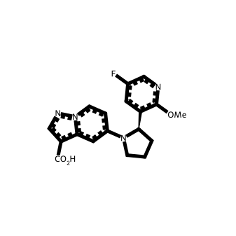 COc1ncc(F)cc1[C@H]1CCCN1c1ccn2ncc(C(=O)O)c2c1